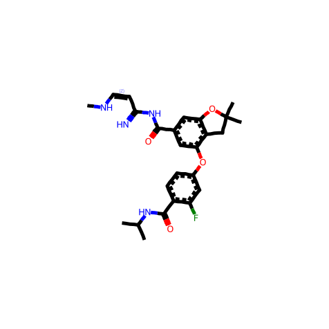 CN/C=C\C(=N)NC(=O)c1cc(Oc2ccc(C(=O)NC(C)C)c(F)c2)c2c(c1)OC(C)(C)C2